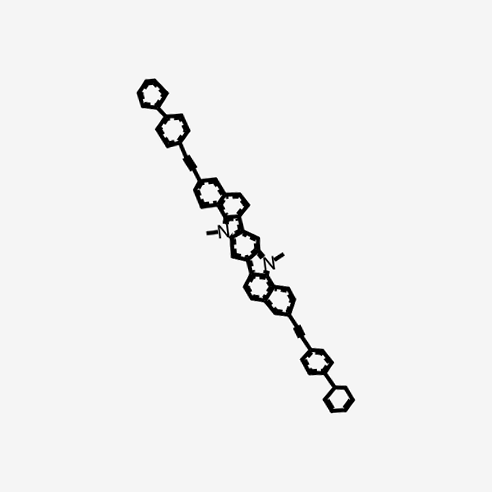 Cn1c2cc3c4ccc5cc(C#Cc6ccc(C7C=CC=CC7)cc6)ccc5c4n(C)c3cc2c2ccc3cc(C#Cc4ccc(-c5ccccc5)cc4)ccc3c21